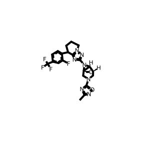 Cc1noc(N2C[C@@H]3CC[C@]4(C2)[C@H]3N4c2nc3n(n2)CCCC3c2ccc(C(F)(F)F)cc2F)n1